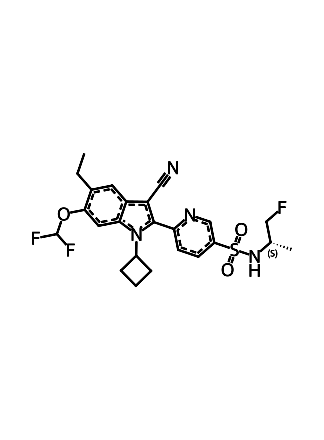 CCc1cc2c(C#N)c(-c3ccc(S(=O)(=O)N[C@@H](C)CF)cn3)n(C3CCC3)c2cc1OC(F)F